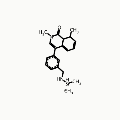 CC1C=CC=C2C(c3cccc(CN[SiH](C)C)c3)=CN(C)C(=O)C21